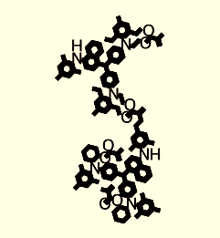 C=C(C)C(=O)OCCN(c1ccc(C(c2ccc(N(CCOC(=O)C(=C)CCc3cc(C)c(Nc4ccc(C(c5ccc(N(c6c(C)cc(C)cc6C)C6CCCCC6OC(=O)C(=C)C)cc5)c5ccc(N(c6c(C)cc(C)cc6C)C6CCCCC6OC(=O)C(=C)C)cc5)c5ccccc45)c(C)c3)c3c(CC)cc(C)cc3CC)cc2)c2ccc(Nc3c(C)cc(C)cc3C)c3ccccc23)cc1)c1c(CC)cc(C)cc1CC